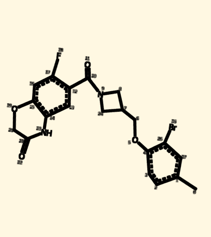 Cc1ccc(OCC2CN(C(=O)c3cc4c(cc3F)OCC(=O)N4)C2)c(Br)c1